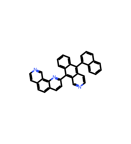 c1ccc2c(-c3c4ccccc4c(-c4ccc5ccc6ccncc6c5n4)c4cnccc34)cccc2c1